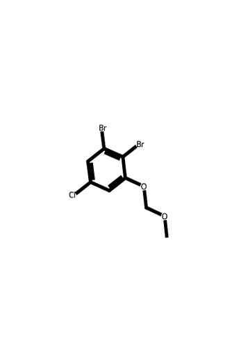 COCOc1cc(Cl)cc(Br)c1Br